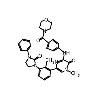 Cc1c(-c2cn(C)c(=O)c(Nc3ccc(C(=O)N4CCOCC4)cc3)n2)cccc1N1CCN(c2ccccc2)C1=O